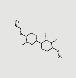 C=CCOC1CCC(C2CCC(OC)C(F)C2F)CC1F